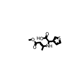 COC(=O)C=C(C)NC(C(=O)O)c1ccsc1